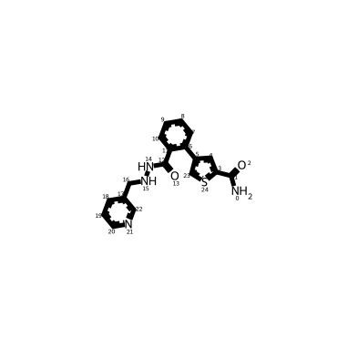 NC(=O)c1cc(-c2ccccc2C(=O)NNCc2cccnc2)cs1